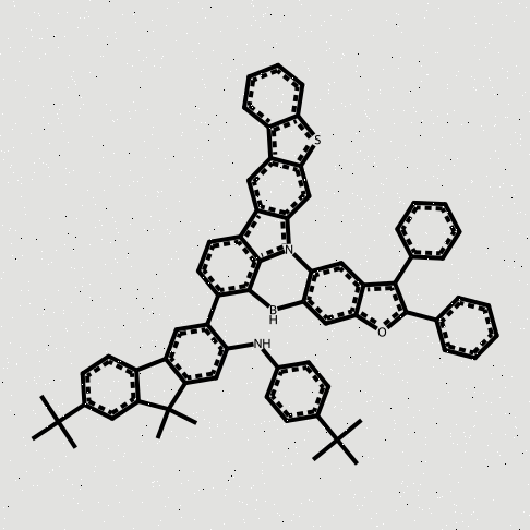 CC(C)(C)c1ccc(Nc2cc3c(cc2-c2ccc4c5cc6c(cc5n5c4c2Bc2cc4oc(-c7ccccc7)c(-c7ccccc7)c4cc2-5)sc2ccccc26)-c2ccc(C(C)(C)C)cc2C3(C)C)cc1